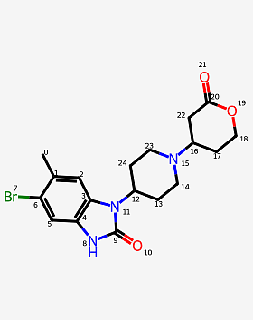 Cc1cc2c(cc1Br)[nH]c(=O)n2C1CCN(C2CCOC(=O)C2)CC1